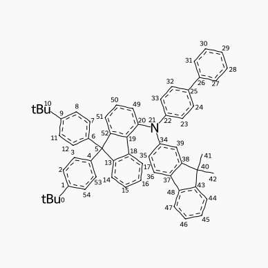 CC(C)(C)c1ccc(C2(c3ccc(C(C)(C)C)cc3)c3ccccc3-c3c(N(c4ccc(-c5ccccc5)cc4)c4ccc5c(c4)C(C)(C)c4ccccc4-5)cccc32)cc1